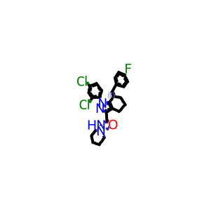 C[N+]1(NC(=O)c2nn(-c3ccc(Cl)cc3Cl)c3c2CCC/C3=C\c2ccc(F)cc2)CCCCC1